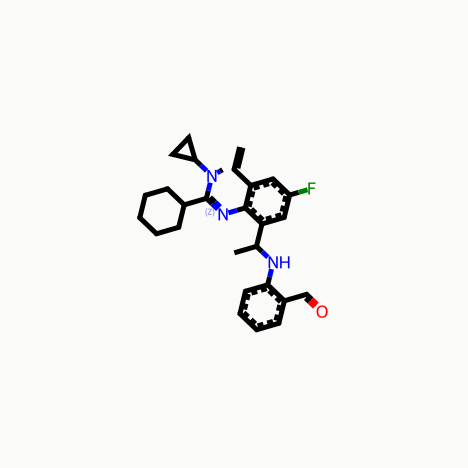 C=Cc1cc(F)cc(C(C)Nc2ccccc2C=O)c1/N=C(/C1CCCCC1)N(C)C1CC1